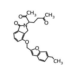 CCc1ccc2cc(COc3cccc4c3CN(C(CCC(C)=O)C(C)=O)C4=O)oc2c1